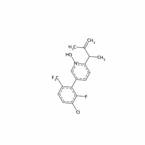 C=C(C)C(C)c1ccc(-c2c(C(F)(F)F)ccc(Cl)c2F)c[n+]1O